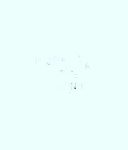 C.Fc1ccc(F)c(F)c1F.c1cc[nH]c1